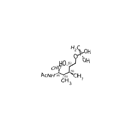 C=P(O)(O)OC[C@@H](O)[C@@H](C)[C@H](C)[C@H](C=O)NC(C)=O